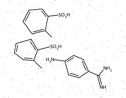 Cc1ccccc1S(=O)(=O)O.Cc1ccccc1S(=O)(=O)O.N=C(N)c1ccc(N)cc1